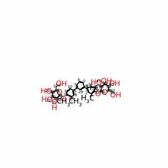 Cc1cc(-c2cccc(-c3ccc(O[C@H]4O[C@H](CO)[C@@H](O)[C@H](O)[C@]4(C)O)c(C)c3)c2)ccc1O[C@H]1O[C@H](CO)[C@@H](O)[C@H](O)[C@]1(C)O